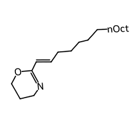 CCCCCCCCCCCCCC=CC1=NCCCO1